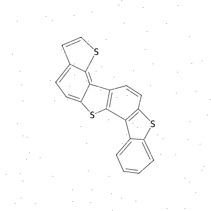 c1ccc2c(c1)sc1ccc3c(sc4ccc5ccsc5c43)c12